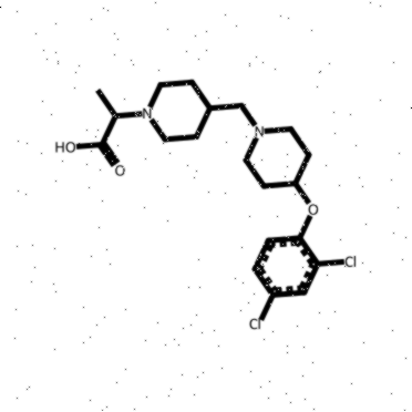 CC(C(=O)O)N1CCC(CN2CCC(Oc3ccc(Cl)cc3Cl)CC2)CC1